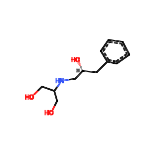 OCC(CO)NC[C@H](O)Cc1ccccc1